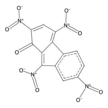 O=C1C([N+](=O)[O-])=CC([N+](=O)[O-])=C2C1=C([N+](=O)[O-])c1cc([N+](=O)[O-])ccc12